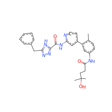 Cc1ccc(NC(=O)CCC(C)(C)O)cc1-c1ccnc(NC(=O)c2nnc(Cc3ccccc3)[nH]2)c1